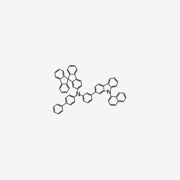 c1ccc(-c2ccc(N(c3cccc(-c4ccc5c6ccccc6n(-c6cccc7ccccc67)c5c4)c3)c3ccc4c(c3)C3(c5ccccc5-c5ccccc53)c3ccccc3-4)cc2)cc1